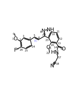 COc1cc(/C=C/c2n[nH]c3ccc(C(=O)NCC#N)c(OC)c23)ccc1F